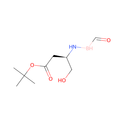 CC(C)(C)OC(=O)C[C@H](CO)NBC=O